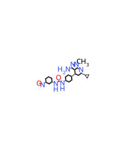 Cn1nc(N)c2c(-c3ccc(NC(=O)Nc4cccc(N=O)c4)cc3)cc(C3CC3)nc21